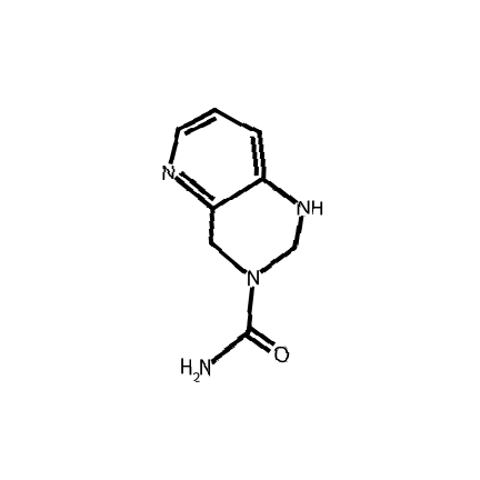 NC(=O)N1CNc2cccnc2C1